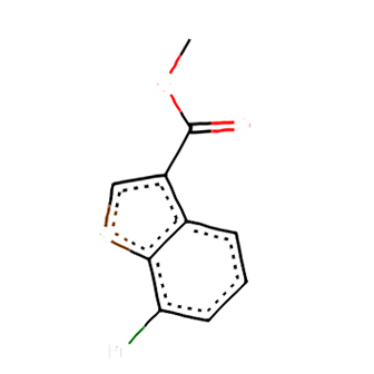 COC(=O)c1csc2c(Br)cccc12